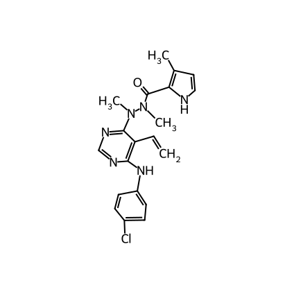 C=Cc1c(Nc2ccc(Cl)cc2)ncnc1N(C)N(C)C(=O)c1[nH]ccc1C